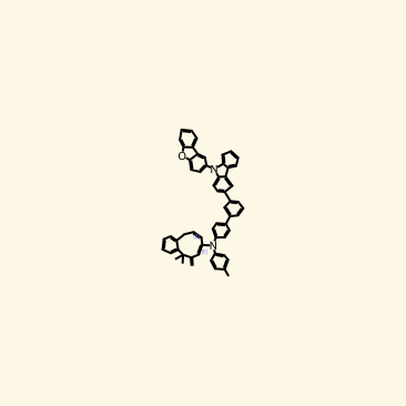 C=C1/C=C(N(c2ccc(C)cc2)c2ccc(-c3cccc(-c4ccc5c(c4)c4ccccc4n5-c4ccc5oc6ccccc6c5c4)c3)cc2)\C=C/Cc2ccccc2C1(C)C